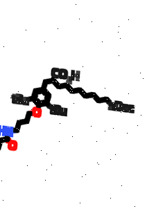 C=CC(=O)NCCCCOc1c(C(C)(C)C)cc(CC(CCCCCCCCCCCCCCCCCC)C(=O)O)cc1C(C)(C)C